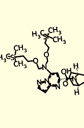 C[Si](C)(C)CCOCN(COCC[Si](C)(C)C)c1cc([C@@H]2C[C@H]3CC[C@@H](C2)N3C(=O)O)nc2ccnn12